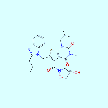 CCCc1nc2ccccc2n1Cc1sc2c(c1C(=O)N1C[C@H](O)CO1)c(=O)n(C)c(=O)n2CC(C)C